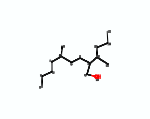 CCCCC(C)CCC(CO)C(C)CCC